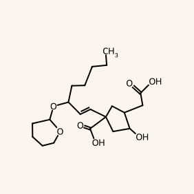 CCCCCC(/C=C/C1(C(=O)O)CC(O)C(CC(=O)O)C1)OC1CCCCO1